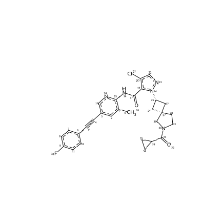 Cc1cc(C#Cc2ccc(F)cc2)cnc1NC(=O)c1c(Cl)cnn1[C@H]1C[C@@]2(CCN(C(=O)C3CC3)C2)C1